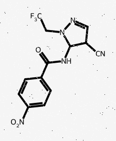 N#CC1C=NN(CC(F)(F)F)C1NC(=O)c1ccc([N+](=O)[O-])cc1